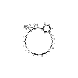 N[C@H]1COCCCCC=CC=CCCCCOc2ccnc(c2)C[C@]1(O)C(=O)O